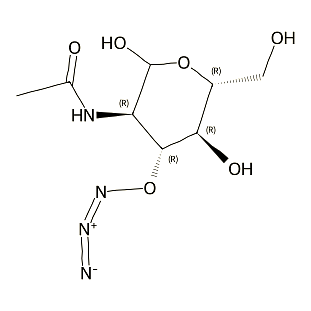 CC(=O)N[C@H]1C(O)O[C@H](CO)[C@@H](O)[C@@H]1ON=[N+]=[N-]